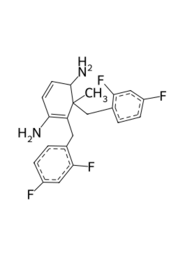 CC1(Cc2ccc(F)cc2F)C(Cc2ccc(F)cc2F)=C(N)C=CC1N